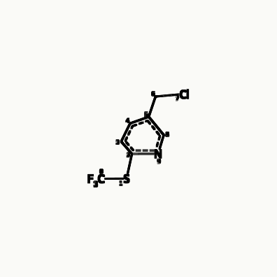 FC(F)(F)Sc1ccc(CCl)cn1